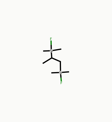 CC(C[Si](C)(C)F)[Si](C)(C)F